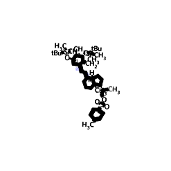 C=C1/C(=C\C=C2/CCC[C@]3(C)[C@@H](C(C)COS(=O)(=O)c4ccc(C)cc4)CC[C@@H]23)C[C@@H](O[Si](C)(C)C(C)(C)C)[C@H](C)[C@@H]1O[Si](C)(C)C(C)(C)C